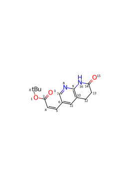 CC(C)(C)OC(=O)/C=C\c1cnc2c(c1)CCC(=O)N2